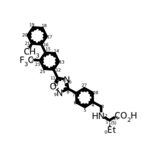 CC[C@H](NCc1ccc(-c2noc(-c3ccc(-c4ccccc4C)c(C(F)(F)F)c3)n2)cc1)C(=O)O